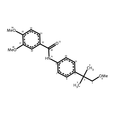 COCC(C)(C)c1ccc(NC(=O)c2ccc(OC)c(OC)c2)cc1